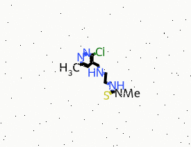 CNC(=S)NCCNCc1cc(C)nnc1Cl